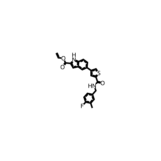 C=COC(=O)c1cc2cc(-c3csc(C(=O)NCc4ccc(F)c(C)c4)c3)ccc2[nH]1